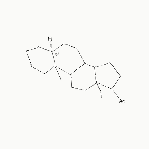 CC(=O)C1CCC2C3CC[C@@H]4CCCCC4(C)C3CCC12C